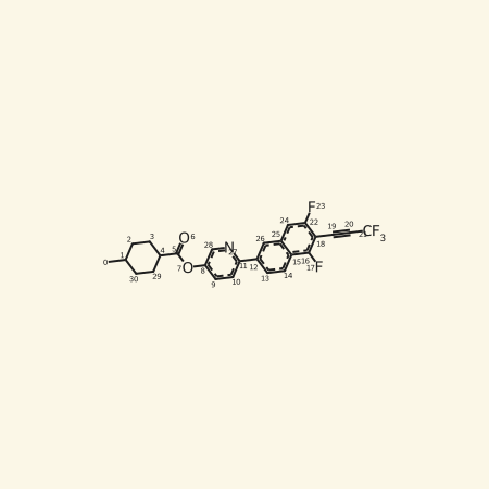 CC1CCC(C(=O)Oc2ccc(-c3ccc4c(F)c(C#CC(F)(F)F)c(F)cc4c3)nc2)CC1